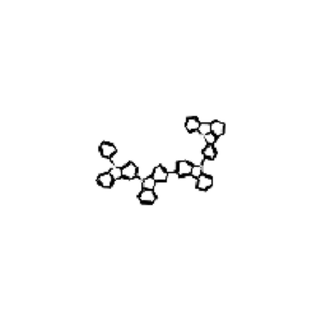 c1ccc(-n2c3ccccc3c3cc(-n4c5ccccc5c5cc(-c6ccc7c(c6)c6ccccc6n7-c6ccc7c8cccc9c%10ccccc%10n(c7c6)c98)ccc54)ccc32)cc1